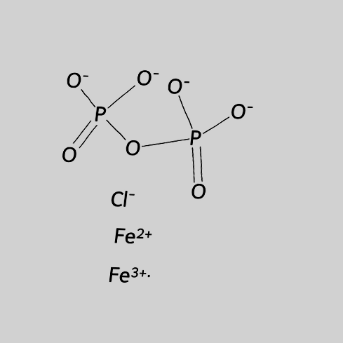 O=P([O-])([O-])OP(=O)([O-])[O-].[Cl-].[Fe+2].[Fe+3]